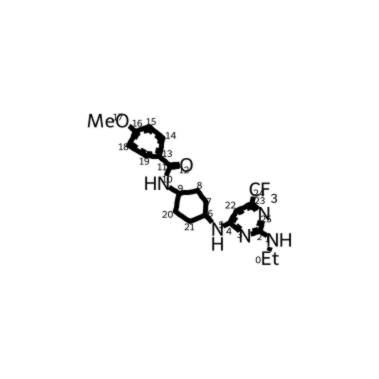 CCNc1nc(NC2CCC(NC(=O)c3ccc(OC)cc3)CC2)cc(C(F)(F)F)n1